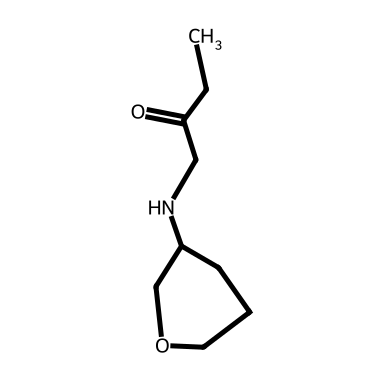 CCC(=O)CNC1CCCOC1